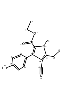 CCOC(=O)c1c(-c2ccc(O)cc2)c(C#N)c(CC)n1C